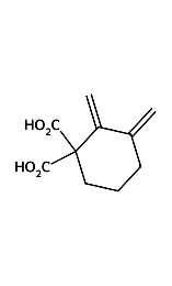 C=C1CCCC(C(=O)O)(C(=O)O)C1=C